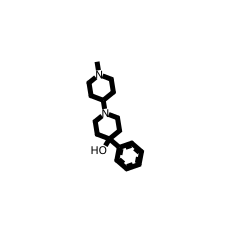 CN1CCC(N2CCC(O)(c3ccccc3)CC2)CC1